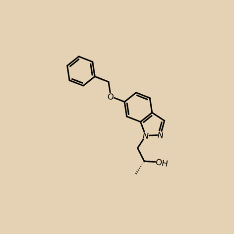 C[C@@H](O)Cn1ncc2ccc(OCc3ccccc3)cc21